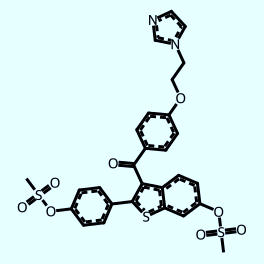 CS(=O)(=O)Oc1ccc(-c2sc3cc(OS(C)(=O)=O)ccc3c2C(=O)c2ccc(OCCn3ccnc3)cc2)cc1